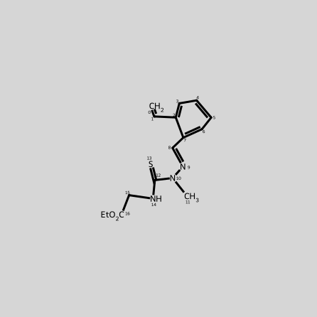 C=Cc1ccccc1/C=N/N(C)C(=S)NCC(=O)OCC